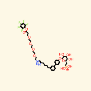 O=C(CCOCCOCCOCCOCCn1cc(CCCCc2cccc(-c3ccc(O[C@H]4O[C@H](CCP(=O)(O)O)[C@@H](O)[C@H](O)[C@@H]4O)cc3)c2)nn1)Oc1c(F)c(F)c(F)c(F)c1F